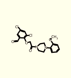 COc1ccccc1N1CCN(C(=O)COc2c(Cl)cc(Cl)cc2C=O)CC1